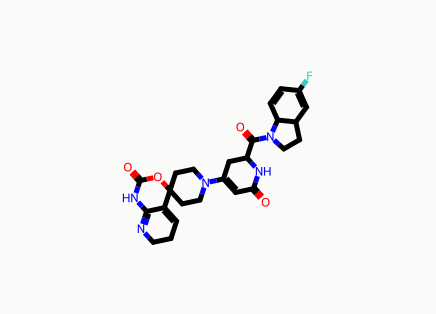 O=C1C=C(N2CCC3(CC2)OC(=O)NC2=NCCC=C23)CC(C(=O)N2CCC3C=C(F)C=CC32)N1